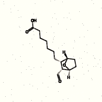 O=C[C@@H]1[C@H](CCCCCCC(=O)O)[C@@H]2CC[C@@H]1O2